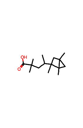 CC(CC(C)(C)C(=O)O)C1(C)CC2(C)CC21C